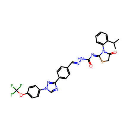 CC(C)c1ccccc1N1C(=O)CS/C1=N\C(=O)N/N=C/c1ccc(-c2ncn(-c3ccc(OC(F)(F)F)cc3)n2)cc1